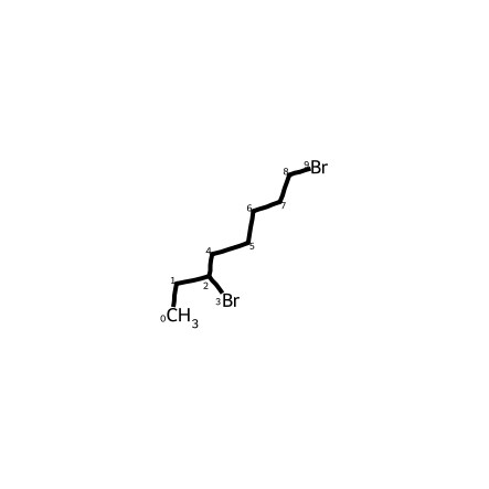 CCC(Br)CCCCCBr